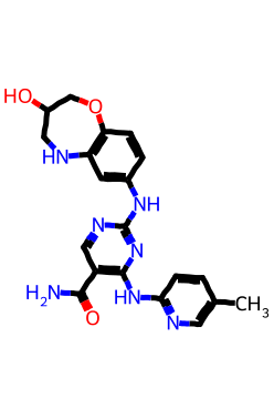 Cc1ccc(Nc2nc(Nc3ccc4c(c3)NCC(O)CO4)ncc2C(N)=O)nc1